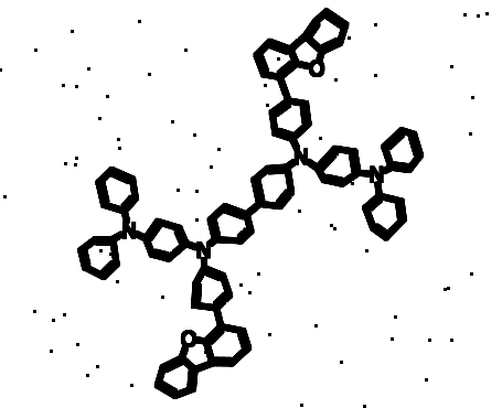 c1ccc(N(c2ccccc2)c2ccc(N(c3ccc(-c4ccc(N(c5ccc(-c6cccc7c6oc6ccccc67)cc5)c5ccc(N(c6ccccc6)c6ccccc6)cc5)cc4)cc3)c3ccc(-c4cccc5c4oc4ccccc45)cc3)cc2)cc1